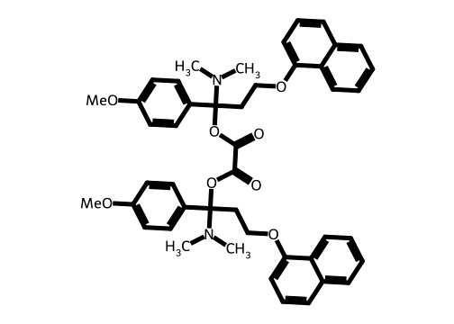 COc1ccc(C(CCOc2cccc3ccccc23)(OC(=O)C(=O)OC(CCOc2cccc3ccccc23)(c2ccc(OC)cc2)N(C)C)N(C)C)cc1